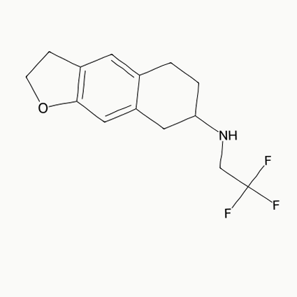 FC(F)(F)CNC1CCc2cc3c(cc2C1)OCC3